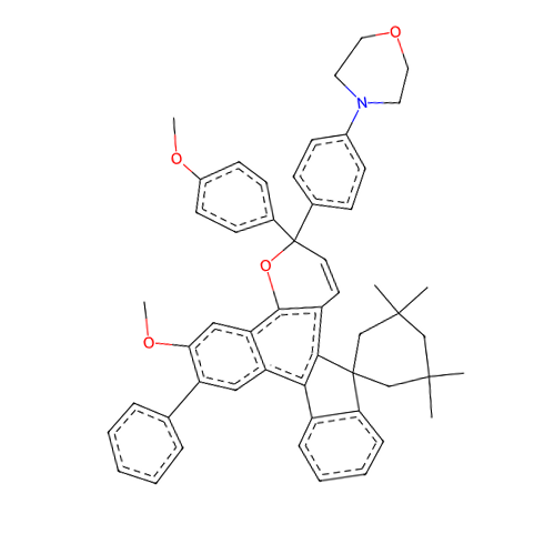 COc1ccc(C2(c3ccc(N4CCOCC4)cc3)C=Cc3c4c(c5cc(-c6ccccc6)c(OC)cc5c3O2)-c2ccccc2C42CC(C)(C)CC(C)(C)C2)cc1